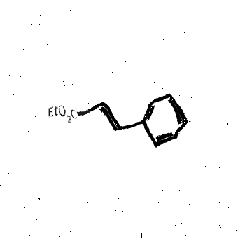 CCOC(=O)/C=C/c1cc[c]cc1